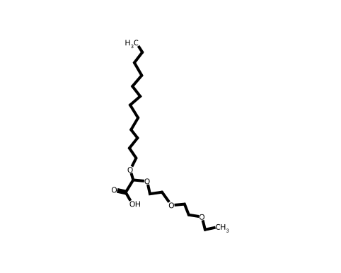 CCCCCCCCCCCCOC(OCCOCCOCC)C(=O)O